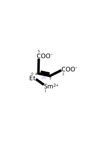 C[CH2][Sm+2].O=C([O-])/C=C\C(=O)[O-]